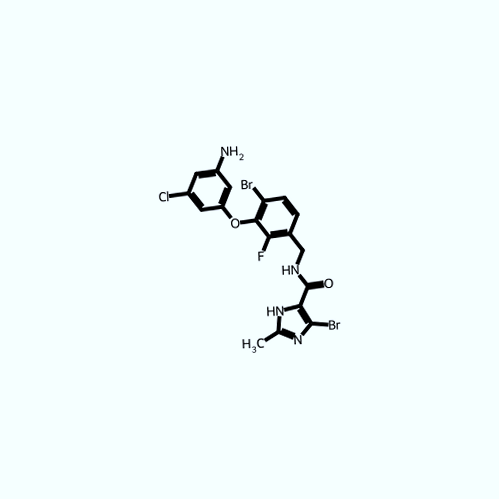 Cc1nc(Br)c(C(=O)NCc2ccc(Br)c(Oc3cc(N)cc(Cl)c3)c2F)[nH]1